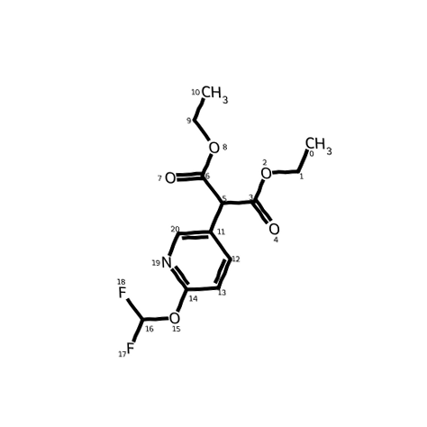 CCOC(=O)C(C(=O)OCC)c1ccc(OC(F)F)nc1